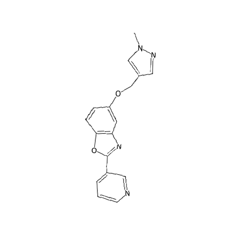 Cn1cc(COc2ccc3oc(-c4cccnc4)nc3c2)cn1